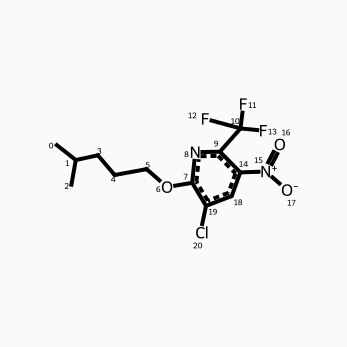 CC(C)CCCOc1nc(C(F)(F)F)c([N+](=O)[O-])cc1Cl